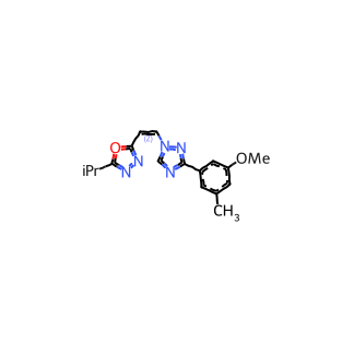 COc1cc(C)cc(-c2ncn(/C=C\c3nnc(C(C)C)o3)n2)c1